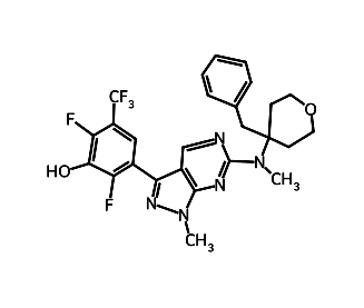 CN(c1ncc2c(-c3cc(C(F)(F)F)c(F)c(O)c3F)nn(C)c2n1)C1(Cc2ccccc2)CCOCC1